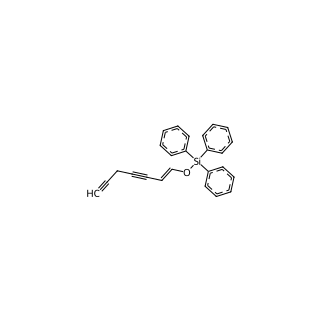 C#CCC#CC=CO[Si](c1ccccc1)(c1ccccc1)c1ccccc1